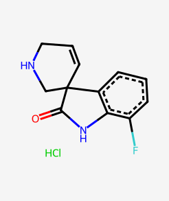 Cl.O=C1Nc2c(F)cccc2C12C=CCNC2